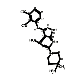 CC1(N)CCN(c2cc(O)c3c(Sc4cccc(Cl)c4Cl)n[nH]c3n2)CC1